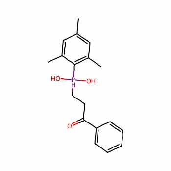 Cc1cc(C)c([PH](O)(O)CCC(=O)c2ccccc2)c(C)c1